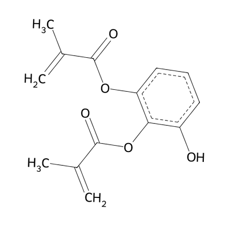 C=C(C)C(=O)Oc1cccc(O)c1OC(=O)C(=C)C